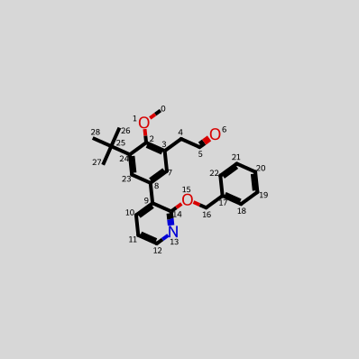 COc1c(CC=O)cc(-c2cccnc2OCc2ccccc2)cc1C(C)(C)C